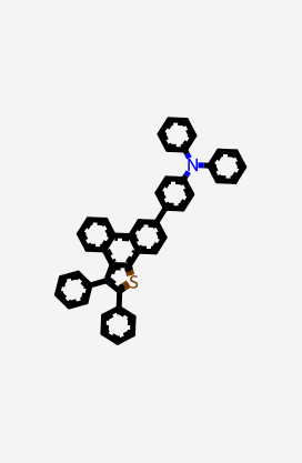 c1ccc(-c2sc3c4ccc(-c5ccc(N(c6ccccc6)c6ccccc6)cc5)cc4c4ccccc4c3c2-c2ccccc2)cc1